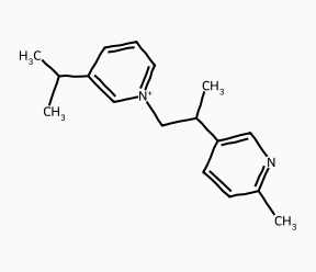 Cc1ccc(C(C)C[n+]2cccc(C(C)C)c2)cn1